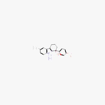 COc1ccc(C2(O)CCCc3c2[nH]c2ccc(Br)cc32)cc1